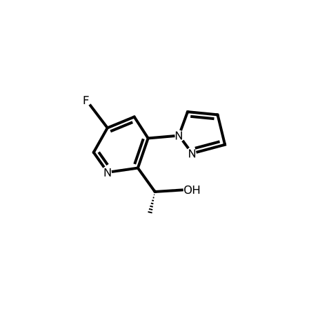 C[C@@H](O)c1ncc(F)cc1-n1cccn1